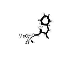 COP(C)(=O)OCC(=O)C(C)Cc1ccccc1